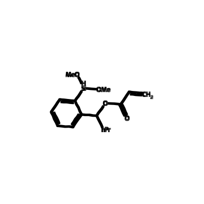 C=CC(=O)OC(CCC)c1ccccc1[SiH](OC)OC